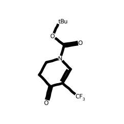 CC(C)(C)OC(=O)N1C=C(C(F)(F)F)C(=O)CC1